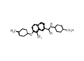 CCC(NC1CCC(C(=O)O)CC1)c1ccc2ccc(OC3CCC(C)CC3)c(C(F)(F)F)c2c1